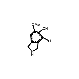 COc1cc2c(c(Cl)c1O)CNC2